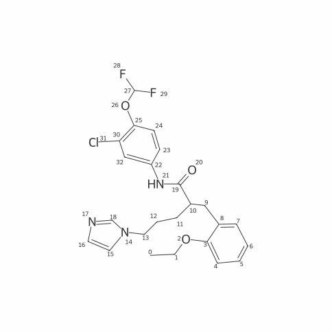 CCOc1ccccc1CC(CCCn1ccnc1)C(=O)Nc1ccc(OC(F)F)c(Cl)c1